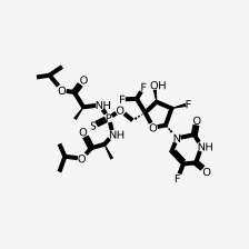 CC(C)OC(=O)[C@H](C)NP(=S)(N[C@@H](C)C(=O)OC(C)C)OC[C@@]1(C(F)F)O[C@@H](n2cc(F)c(=O)[nH]c2=O)[C@H](F)[C@@H]1O